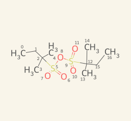 CCC(C)(C)S(=O)(=O)OS(=O)(=O)C(C)(C)CC